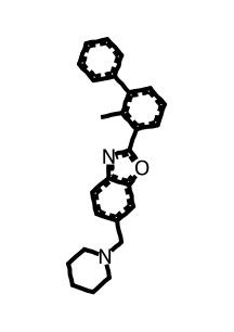 Cc1c(-c2ccccc2)cccc1-c1nc2ccc(CN3CCCCC3)cc2o1